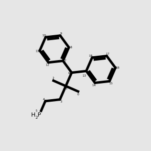 CC(C)(CCP)C(c1ccccc1)c1ccccc1